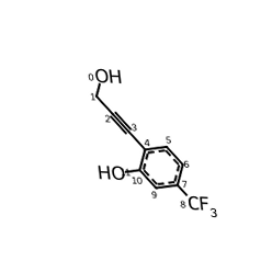 OCC#Cc1ccc(C(F)(F)F)cc1O